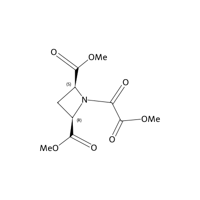 COC(=O)C(=O)N1[C@@H](C(=O)OC)C[C@H]1C(=O)OC